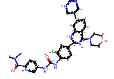 CN(C)C(=O)c1ccc(NC(=O)Nc2ccc(-c3nc(N4CCOCC4)c4ccc(-c5cncnc5)cc4n3)cc2F)cn1